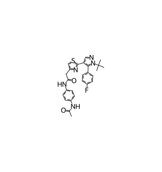 CC(=O)Nc1ccc(NC(=O)Cc2csc(-c3cnn(C(C)(C)C)c3-c3ccc(F)cc3)n2)cc1